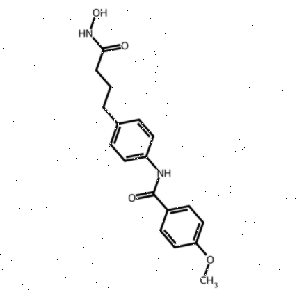 COc1ccc(C(=O)Nc2ccc(CCCC(=O)NO)cc2)cc1